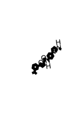 CNC1CCN(c2ccc(NC(=O)c3ccc(-c4cccc(C(C)C)c4)o3)cc2)C1